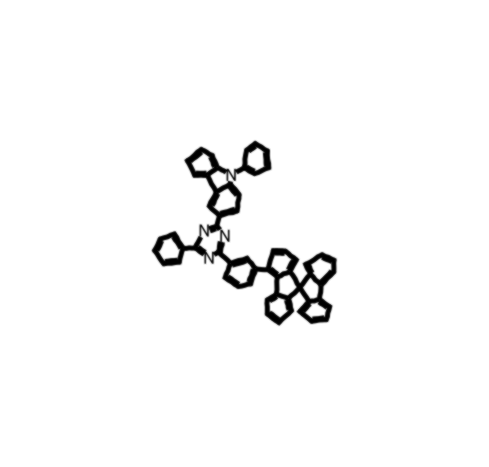 c1ccc(-c2nc(-c3cccc(-c4cccc5c4-c4ccccc4C54c5ccccc5-c5ccccc54)c3)nc(-c3ccc4c(c3)c3ccccc3n4-c3ccccc3)n2)cc1